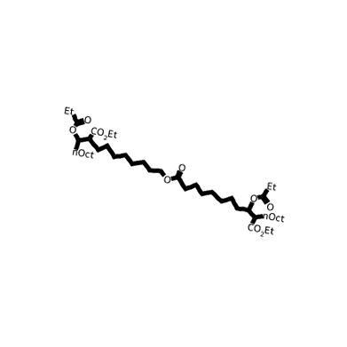 CCCCCCCCC(OC(=O)CC)C(CCCCCCCCOC(=O)CCCCCCCC(OC(=O)CC)C(CCCCCCCC)C(=O)OCC)C(=O)OCC